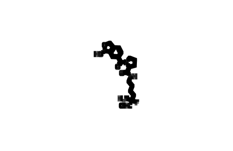 N[C@](F)(C=O)CCCCNC(=O)C1CCCN1C(=O)c1ccc2c(c1)B(O)OC2